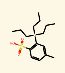 CCC[Si](CCC)(CCC)c1cc(C)ccc1S(=O)(=O)O